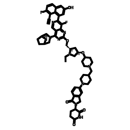 C#Cc1c(F)ccc2cc(O)cc(-c3ncc4c(N5CC6CCC(C5)N6)nc(OC[C@@H]5C[C@@H](OC6CCN(CC7CCN(c8ccc9c(c8)CN(C8CCC(=O)NC8=O)C9=O)CC7)CC6)CN5CC)nc4c3F)c12